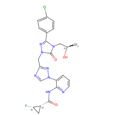 O=C(Nc1ncccc1-n1cnc(Cn2nc(-c3ccc(Cl)cc3)n(C[C@H](O)C(F)(F)F)c2=O)n1)[C@@H]1C[C@@H]1F